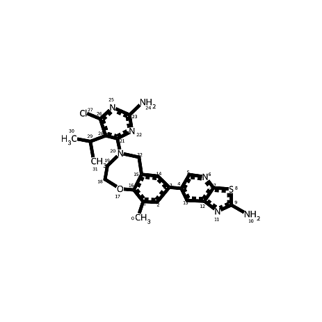 Cc1cc(-c2cnc3sc(N)nc3c2)cc2c1OCCN(c1nc(N)nc(Cl)c1C(C)C)C2